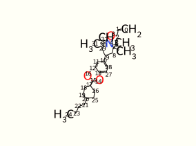 C=CCON1C(C)(C)CC(c2ccc(OC(=O)C3CCC(CCCC)CC3)cc2)CC1(C)C